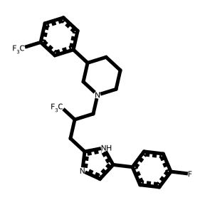 Fc1ccc(-c2cnc(CC(CN3CCCC(c4cccc(C(F)(F)F)c4)C3)C(F)(F)F)[nH]2)cc1